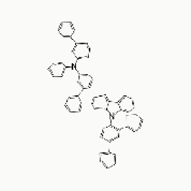 c1ccc(-c2cccc(N(c3ccccc3)c3cccc(-c4ccccc4-c4ccc5c6ccccc6n(-c6ccc(-c7ccccc7)cc6-c6ccccc6)c5c4)c3)c2)cc1